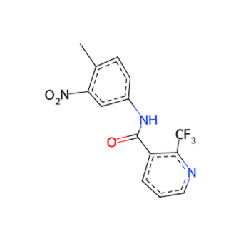 Cc1ccc(NC(=O)c2cccnc2C(F)(F)F)cc1[N+](=O)[O-]